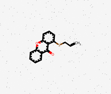 C=CCSc1cccc2oc3ccccc3c(=O)c12